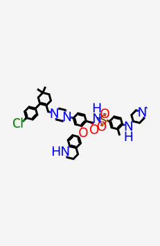 Cc1cc(S(=O)(=O)NC(=O)c2ccc(N3CCN(CC4=C(c5ccc(Cl)cc5)CC(C)(C)CC4)CC3)cc2Oc2ccc3c(c2)CCCN3)ccc1NC1CCN(C)CC1